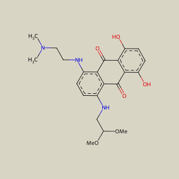 COC(CNc1ccc(NCCN(C)C)c2c1C(=O)c1c(O)ccc(O)c1C2=O)OC